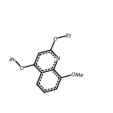 CCOc1cc(OC(C)C)c2cccc(OC)c2n1